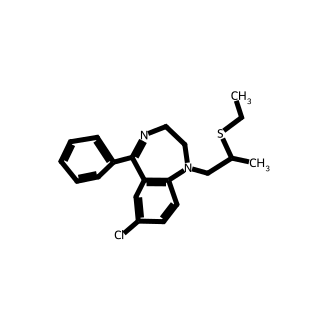 CCSC(C)CN1CCN=C(c2ccccc2)c2cc(Cl)ccc21